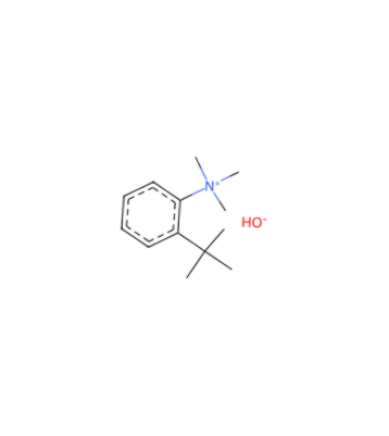 CC(C)(C)c1ccccc1[N+](C)(C)C.[OH-]